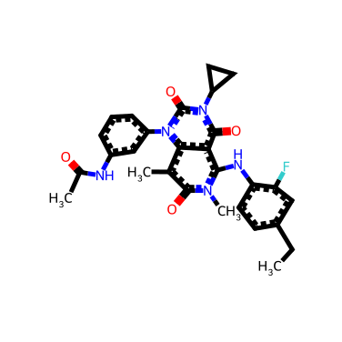 CCc1ccc(Nc2c3c(=O)n(C4CC4)c(=O)n(-c4cccc(NC(C)=O)c4)c3c(C)c(=O)n2C)c(F)c1